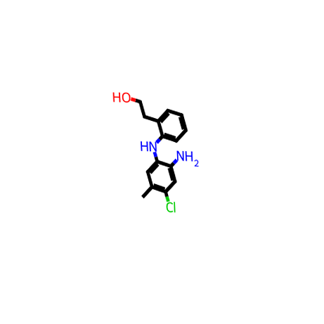 Cc1cc(Nc2ccccc2CCO)c(N)cc1Cl